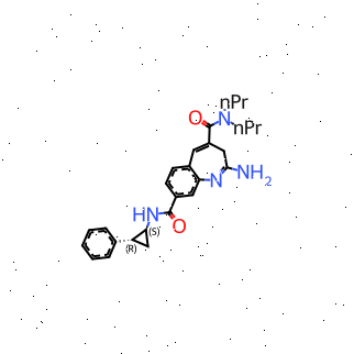 CCCN(CCC)C(=O)C1=Cc2ccc(C(=O)N[C@H]3C[C@@H]3c3ccccc3)cc2N=C(N)C1